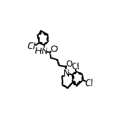 O=C(CCCC(=O)N1CCCc2cc(Cl)cc(Cl)c21)Nc1ccccc1Cl